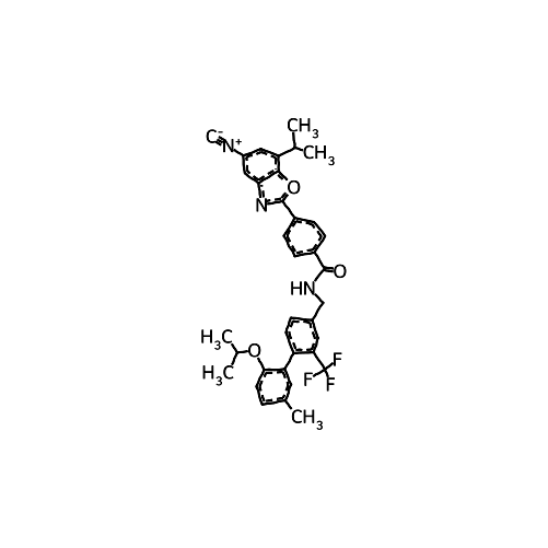 [C-]#[N+]c1cc(C(C)C)c2oc(-c3ccc(C(=O)NCc4ccc(-c5cc(C)ccc5OC(C)C)c(C(F)(F)F)c4)cc3)nc2c1